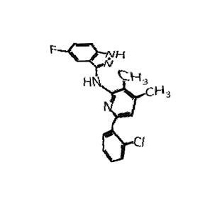 Cc1cc(-c2ccccc2Cl)nc(Nc2n[nH]c3ccc(F)cc23)c1C